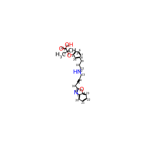 CC(C)(Oc1cccc(CCCNCC#CCc2nc3ccccc3o2)c1)C(=O)O